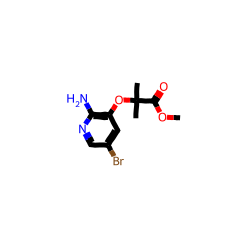 COC(=O)C(C)(C)Oc1cc(Br)cnc1N